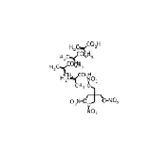 C=C(C)C(=O)O.C=C(C)C(=O)O.C=C(C)C(=O)O.C=C(C)C(=O)O.O=[N+]([O-])OCC(CO[N+](=O)[O-])(CO[N+](=O)[O-])CO[N+](=O)[O-]